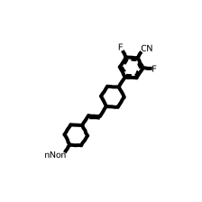 CCCCCCCCCC1CCC(/C=C/C2CCC(c3cc(F)c(C#N)c(F)c3)CC2)CC1